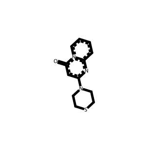 O=c1cc(N2CCSCC2)nc2ccccn12